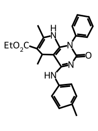 CCOC(=O)C1=C(C)Nc2c(c(Nc3ccc(C)cc3)nc(=O)n2-c2ccccc2)C1C